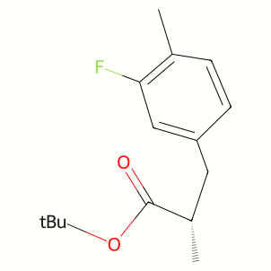 Cc1ccc(C[C@H](C)C(=O)OC(C)(C)C)cc1F